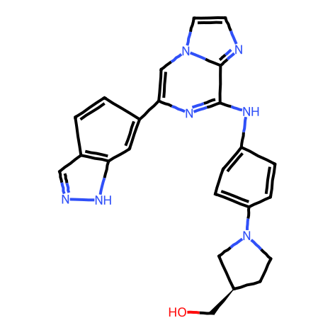 OC[C@@H]1CCN(c2ccc(Nc3nc(-c4ccc5cn[nH]c5c4)cn4ccnc34)cc2)C1